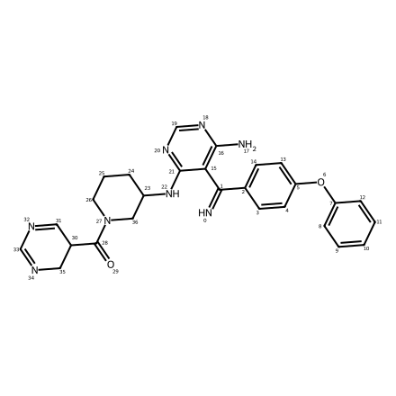 N=C(c1ccc(Oc2ccccc2)cc1)c1c(N)ncnc1NC1CCCN(C(=O)C2C=NC=NC2)C1